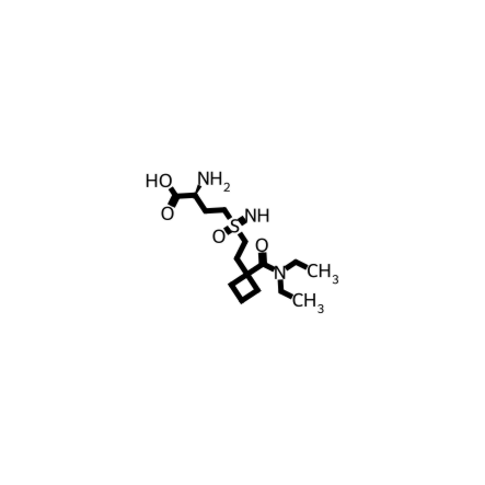 CCN(CC)C(=O)C1(CCS(=N)(=O)CC[C@H](N)C(=O)O)CCC1